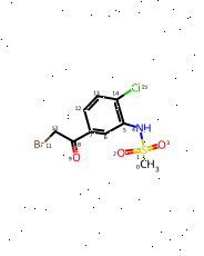 CS(=O)(=O)Nc1cc(C(=O)CBr)ccc1Cl